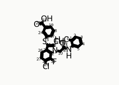 Cc1ccccc1NC(=O)Cn1c(C)c(Sc2cccc(C(=O)O)c2)c2ccc(Cl)c(F)c21